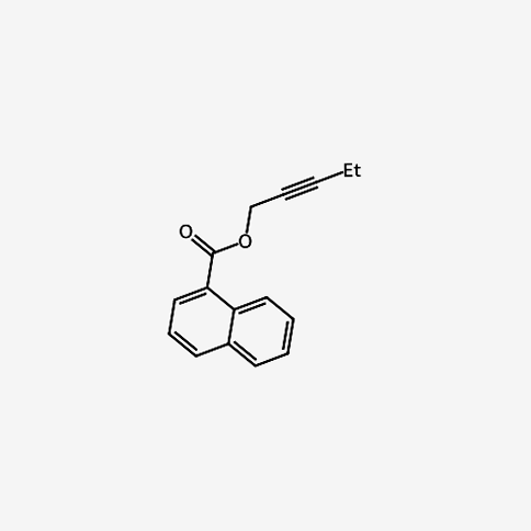 CCC#CCOC(=O)c1cccc2ccccc12